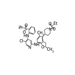 CCS(=O)(=O)N1CCC(c2c(C)cc(Nc3cc(Nc4ccccc4S(=O)(=O)C(C)C)c(Cl)cn3)c3c2C[C@@H](C)O3)CC1